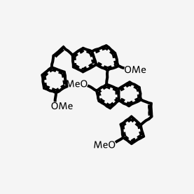 COc1ccc(/C=C\c2ccc3c(-c4c(OC)ccc5cc(/C=C\c6ccc(OC)cc6)ccc45)c(OC)ccc3c2)cc1